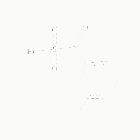 CCS(=O)(=O)C(=O)c1cccc(C)c1